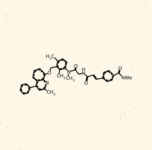 CNC(=O)c1ccc(C=CC(=O)NCC(=O)N(C)c2ccc(C)c(COc3cccc4c(-c5ccccc5)cc(C)nc34)c2C)cc1